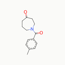 Cc1ccc(C(=O)N2CCCC(=O)CC2)cc1